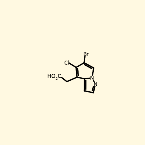 O=C(O)Cc1c(Cl)c(Br)cn2nccc12